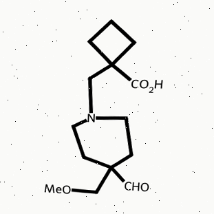 COCC1(C=O)CCN(CC2(C(=O)O)CCC2)CC1